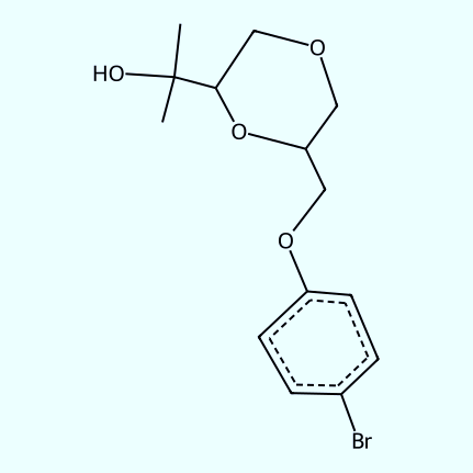 CC(C)(O)C1COCC(COc2ccc(Br)cc2)O1